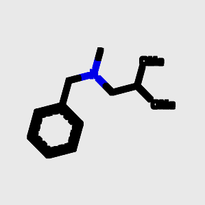 COC(CN(C)Cc1ccccc1)OC